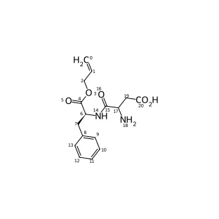 C=CCOC(=O)[C@H](Cc1ccccc1)NC(=O)C(N)CC(=O)O